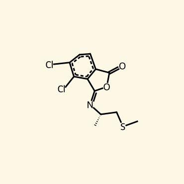 CSC[C@H](C)/N=C1\OC(=O)c2ccc(Cl)c(Cl)c21